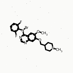 COc1cc2c(N(Br)c3c(F)cccc3F)ncnc2cc1OCC1CCN(C)CC1